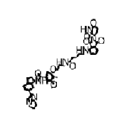 COc1cc(C(=O)N[C@@H]2CCc3ccc(-c4cn5c(n4)CCC5)cc32)cc(OCCCNC(=O)CCCCNc2cccc3c2C(=O)N(C2CCC(=O)NC2=O)C3=O)c1C